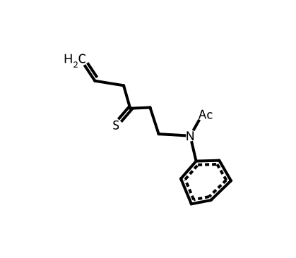 C=CCC(=S)CCN(C(C)=O)c1ccccc1